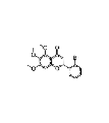 COc1cc2oc(-c3ccccc3Br)cc(=O)c2c(OC)c1OC